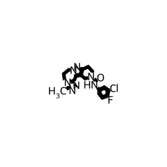 Cc1nnc2n1CCCn1nc3c(c1-2)CN(C(=O)Nc1ccc(F)c(Cl)c1)CC3